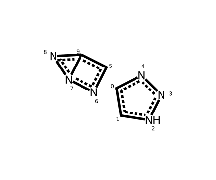 c1c[nH]nn1.c1nn2nc1-2